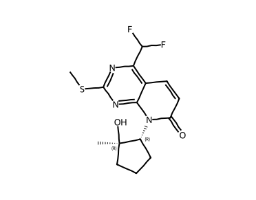 CSc1nc(C(F)F)c2ccc(=O)n([C@@H]3CCC[C@@]3(C)O)c2n1